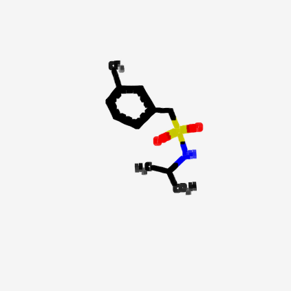 CC(NS(=O)(=O)Cc1cccc(C(F)(F)F)c1)C(=O)O